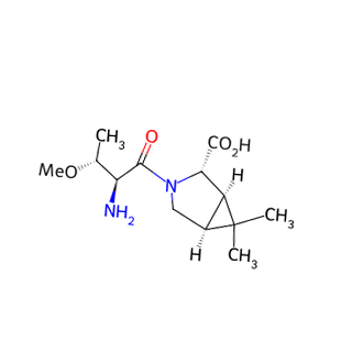 CO[C@H](C)[C@H](N)C(=O)N1C[C@H]2[C@@H]([C@H]1C(=O)O)C2(C)C